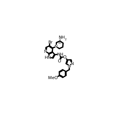 COc1ccc(Cn2cc(OC(=O)Nc3c[nH]c4ncc(Br)c(N5CCC[C@@H](N)C5)c34)cn2)cc1